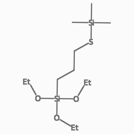 CCO[Si](CCCS[Si](C)(C)C)(OCC)OCC